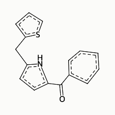 O=C(c1ccccc1)c1ccc(Cc2cccs2)[nH]1